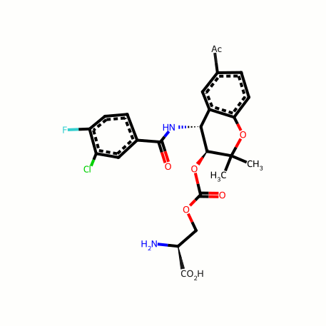 CC(=O)c1ccc2c(c1)[C@@H](NC(=O)c1ccc(F)c(Cl)c1)[C@H](OC(=O)OC[C@H](N)C(=O)O)C(C)(C)O2